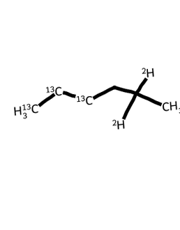 [2H]C([2H])(C)C[13CH2][13CH2][13CH3]